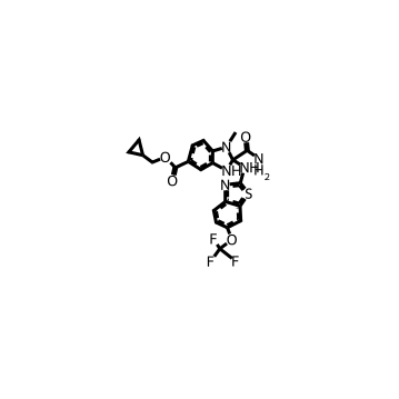 CN1c2ccc(C(=O)OCC3CC3)cc2NC1(Nc1nc2ccc(OC(F)(F)F)cc2s1)C(N)=O